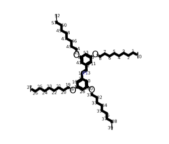 ICCCCCCCCOc1cc(/C=C/c2cc(OCCCCCCCCI)cc(OCCCCCCCCI)c2)cc(OCCCCCCCCI)c1